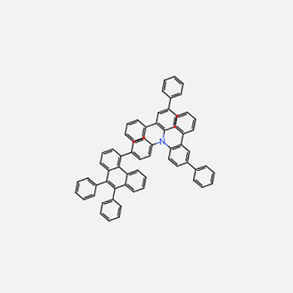 c1ccc(-c2ccc(N(c3ccc(-c4cccc5c(-c6ccccc6)c(-c6ccccc6)c6ccccc6c45)cc3)c3ccc(-c4ccccc4)cc3-c3ccccc3)c(-c3ccccc3)c2)cc1